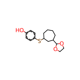 Oc1ccc(SC2CCCCC(C3OCCO3)C2)cc1